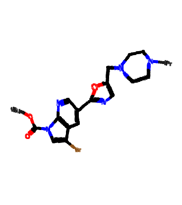 CC(C)N1CCN(Cc2cnc(-c3cnc4c(c3)c(Br)cn4C(=O)OC(C)(C)C)o2)CC1